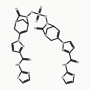 O=C(Nc1ncco1)c1ccn(C2=CC3CN(C2)C(=O)N3OS(=O)(=O)ON2C(=O)N3CC(n4ccc(C(=O)Nc5ncco5)n4)=CC2C3)n1